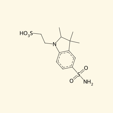 CC1N(CCS(=O)(=O)O)c2ccc(S(N)(=O)=O)cc2C1(C)C